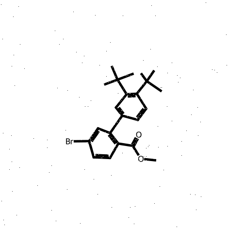 COC(=O)c1ccc(Br)cc1-c1ccc(C(C)(C)C)c(C(C)(C)C)c1